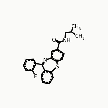 CC(C)CNC(=O)c1ccc2c(c1)N=C(c1ccccc1F)c1ccccc1S2